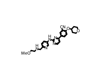 COCCNCc1ccc(Nc2nccc(-c3ccc(OC4CCOCC4)c(C#N)c3)n2)cn1